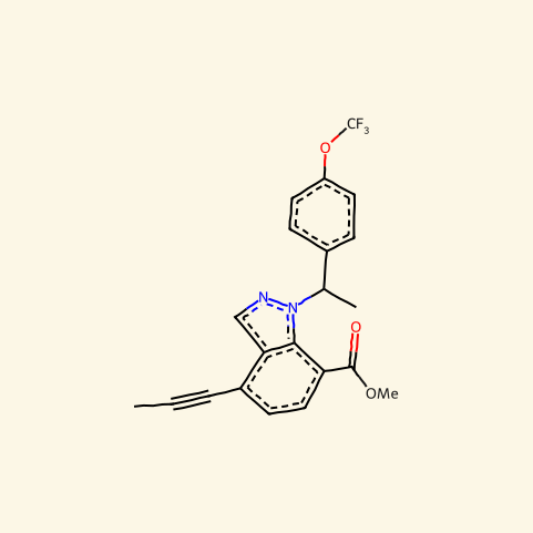 CC#Cc1ccc(C(=O)OC)c2c1cnn2C(C)c1ccc(OC(F)(F)F)cc1